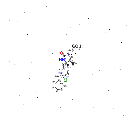 C\C=C(Cl)/C(=C\C=C\[C@]1(CC)NC(=O)N(CCC(=O)O)C=C1C(C)C)CC1CCCCCC1